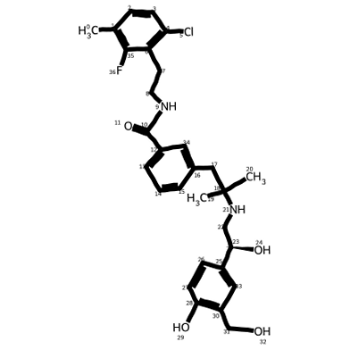 Cc1ccc(Cl)c(CCNC(=O)c2cccc(CC(C)(C)NC[C@@H](O)c3ccc(O)c(CO)c3)c2)c1F